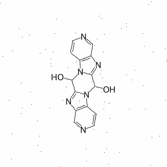 OC1c2nc3cnccc3n2C(O)c2nc3cnccc3n21